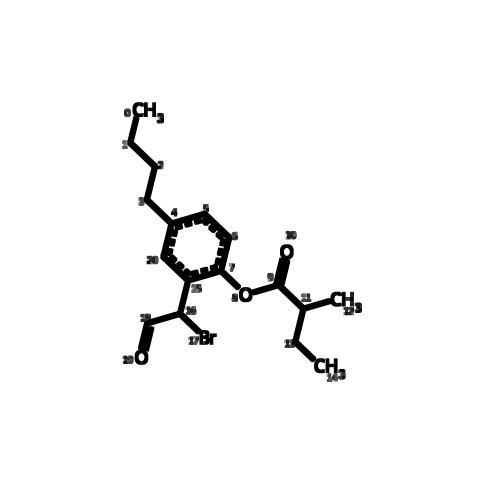 CCCCc1ccc(OC(=O)C(C)CC)c(C(Br)C=O)c1